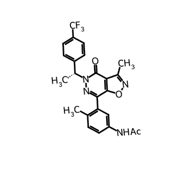 CC(=O)Nc1ccc(C)c(-c2nn([C@H](C)c3ccc(C(F)(F)F)cc3)c(=O)c3c(C)noc23)c1